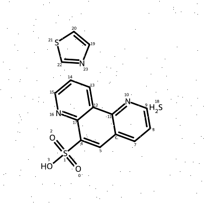 O=S(=O)(O)c1cc2cccnc2c2cccnc12.S.c1cscn1